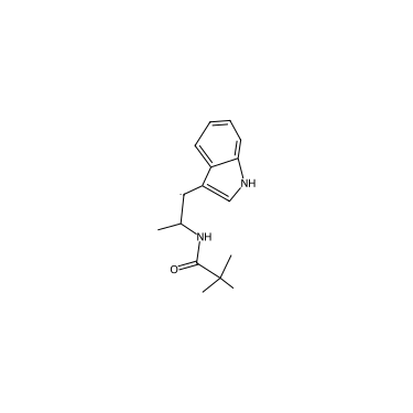 CC([CH]c1c[nH]c2ccccc12)NC(=O)C(C)(C)C